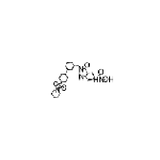 O=C(NO)c1ccc2ncn(Cc3cccc(-c4ccc(S(=O)(=O)N5CCCCC5)cc4)c3)c(=O)c2c1